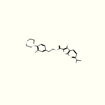 Nc1c(C(=O)NCCc2ccc(N3CCNCC3)c(Cl)c2)sc2nc(C(F)F)ccc12